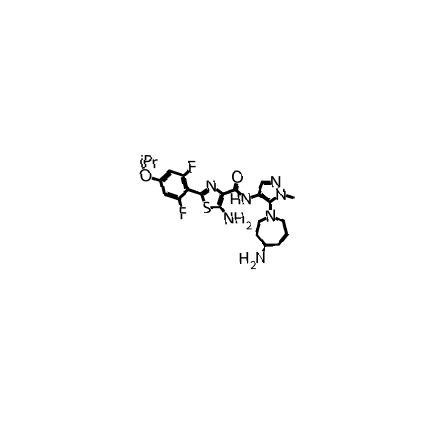 CC(C)Oc1cc(F)c(-c2nc(C(=O)Nc3cnn(C)c3N3CCC[C@@H](N)CC3)c(N)s2)c(F)c1